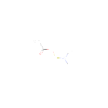 CNC(=O)OSN(C)C